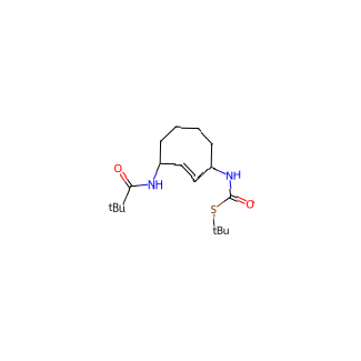 CC(C)(C)SC(=O)NC1/C=C/C(NC(=O)C(C)(C)C)CCCC1